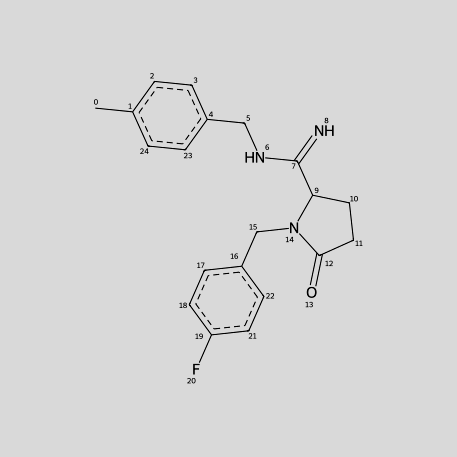 Cc1ccc(CNC(=N)C2CCC(=O)N2Cc2ccc(F)cc2)cc1